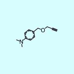 C#CCOCc1ccc(N(C)C)cc1